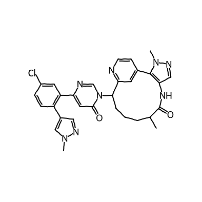 CC1CCCC(n2cnc(-c3cc(Cl)ccc3-c3cnn(C)c3)cc2=O)c2cc(ccn2)-c2c(cnn2C)NC1=O